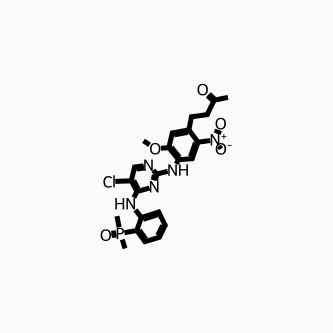 COc1cc(CCC(C)=O)c([N+](=O)[O-])cc1Nc1ncc(Cl)c(Nc2ccccc2P(C)(C)=O)n1